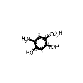 Nc1cc(C(=O)O)c(O)cc1O